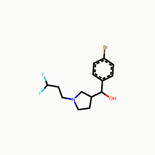 OC(c1ccc(Br)cc1)C1CCN(CCC(F)F)C1